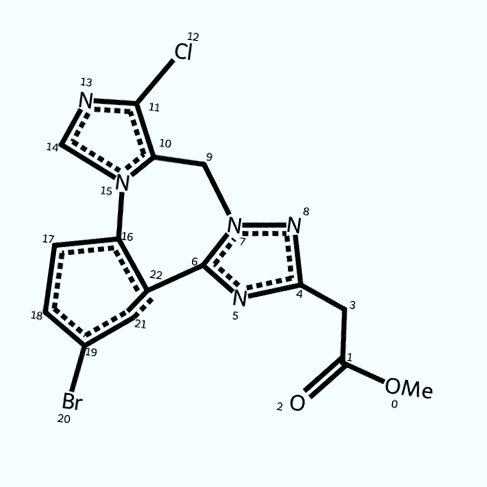 COC(=O)Cc1nc2n(n1)Cc1c(Cl)ncn1-c1ccc(Br)cc1-2